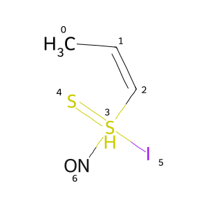 C/C=C\[SH](=S)(I)N=O